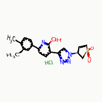 Cc1ccc(-c2ccc(-c3cn([C@H]4C=CS(=O)(=O)C4)nn3)c(O)n2)cc1C.Cl